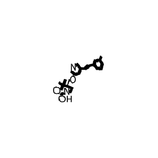 Cc1cccc(C#Cc2cncc(OC[C@@]3(C(C)(C)C)CCN3C(=O)O)c2)c1